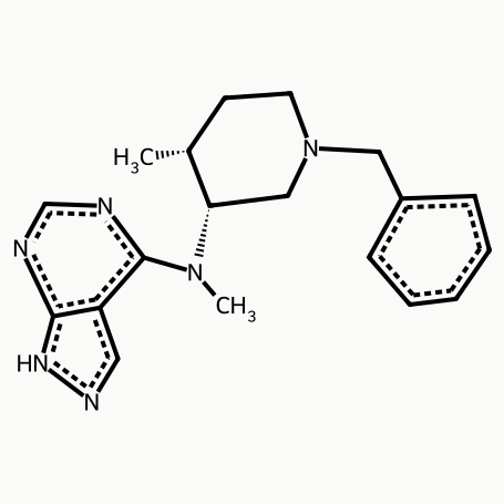 C[C@@H]1CCN(Cc2ccccc2)C[C@@H]1N(C)c1ncnc2[nH]ncc12